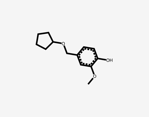 COc1cc(COC2CCCC2)ccc1O